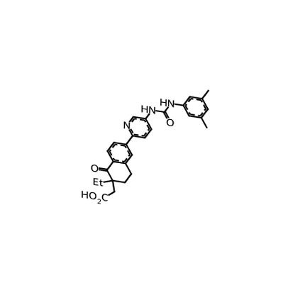 CCC1(CC(=O)O)CCc2cc(-c3ccc(NC(=O)Nc4cc(C)cc(C)c4)cn3)ccc2C1=O